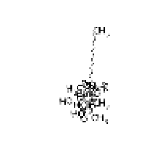 CCCCCCCCCCCCCC(=O)O[C@@]12[C@H](OC(=O)C3=NC=C3)[C@@H](C)[C@@]3(O)[C@@H](C=C(CO)C[C@]4(O)C(=O)C(C)=C[C@@H]34)[C@H]1C2(C)C